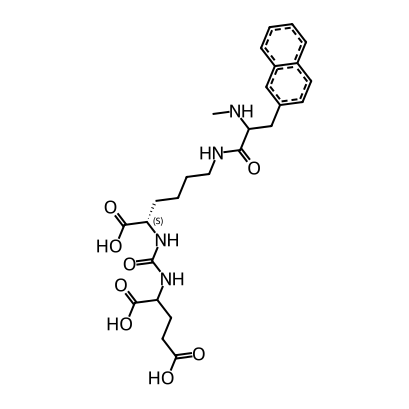 CNC(Cc1ccc2ccccc2c1)C(=O)NCCCC[C@H](NC(=O)NC(CCC(=O)O)C(=O)O)C(=O)O